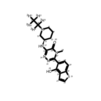 [2H]C([2H])([2H])C([2H])([2H])N1CCC[C@@H](Nc2nnc(-c3ccc4sccc4c3O)n(C)c2=O)C1